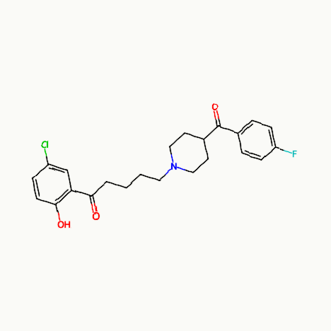 O=C(CCCCN1CCC(C(=O)c2ccc(F)cc2)CC1)c1cc(Cl)ccc1O